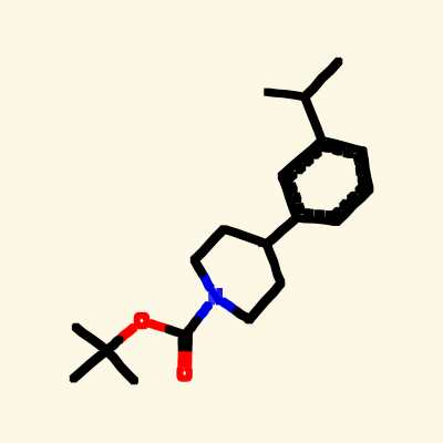 CC(C)c1cccc([C]2CCN(C(=O)OC(C)(C)C)CC2)c1